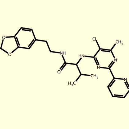 Cc1nc(-c2ccccn2)nc(NC(C(=O)NCCc2ccc3c(c2)OCO3)C(C)C)c1Cl